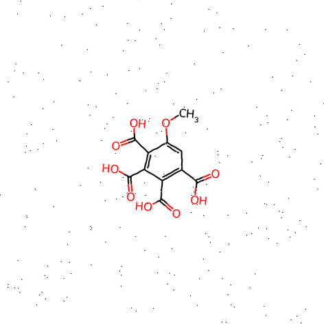 COc1cc(C(=O)O)c(C(=O)O)c(C(=O)O)c1C(=O)O